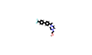 COCCN1CCN(C(C)c2ccc(-c3ccc(C(F)F)cc3)cc2)CC1